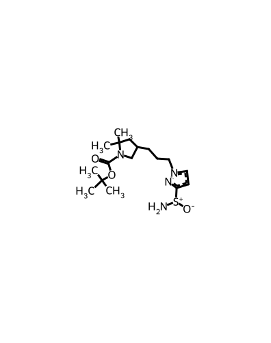 CC(C)(C)OC(=O)N1CC(CCCn2ccc([S+](N)[O-])n2)CC1(C)C